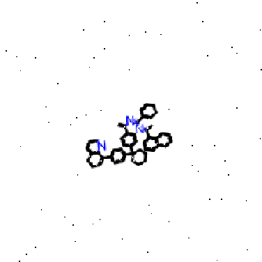 C=C(/N=C(\N=C(/C)c1cccc2ccccc12)C1=CCCC=C1)c1ccc(C2(c3ccc(C4=CCCc5cccnc54)cc3)CCCCC2)cc1